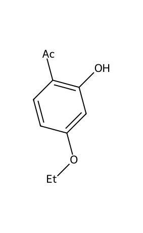 CCOc1ccc(C(C)=O)c(O)c1